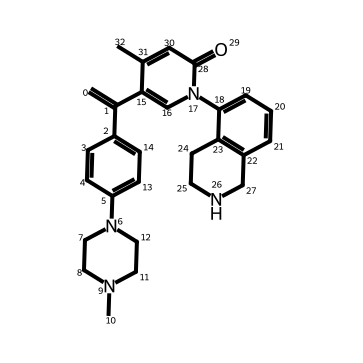 C=C(c1ccc(N2CCN(C)CC2)cc1)c1cn(-c2cccc3c2CCNC3)c(=O)cc1C